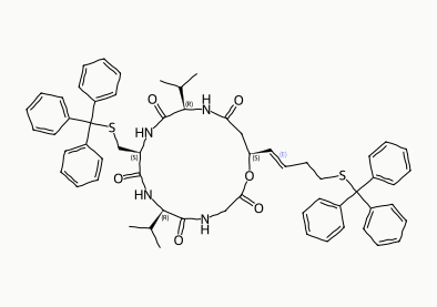 CC(C)[C@H]1NC(=O)C[C@@H](/C=C/CCSC(c2ccccc2)(c2ccccc2)c2ccccc2)OC(=O)CNC(=O)[C@@H](C(C)C)NC(=O)[C@@H](CSC(c2ccccc2)(c2ccccc2)c2ccccc2)NC1=O